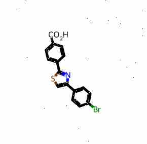 O=C(O)c1ccc(-c2nc(-c3ccc(Br)cc3)cs2)cc1